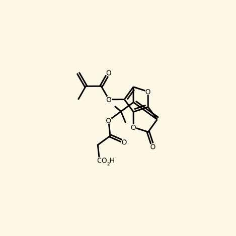 C=C(C)C(=O)Oc1c2c3oc1c(C(C)(C)OC(=O)CC(=O)O)c3C(=O)O2